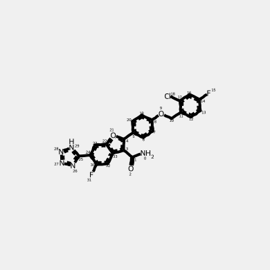 NC(=O)c1c(-c2ccc(OCc3ccc(F)cc3Cl)cc2)oc2cc(-c3nnn[nH]3)c(F)cc12